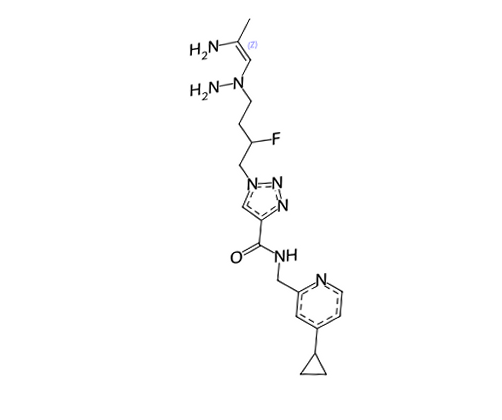 C/C(N)=C/N(N)CCC(F)Cn1cc(C(=O)NCc2cc(C3CC3)ccn2)nn1